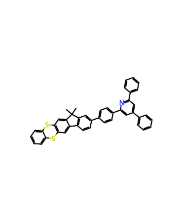 CC1(C)c2cc(-c3ccc(-c4cc(-c5ccccc5)cc(-c5ccccc5)n4)cc3)ccc2-c2cc3c(cc21)Sc1ccccc1S3